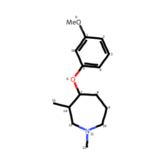 COc1cccc(OC2CCCN(C)CC2C)c1